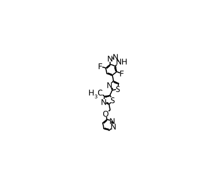 Cc1nc(COc2cccnn2)sc1-c1nc(-c2cc(F)c3nn[nH]c3c2F)cs1